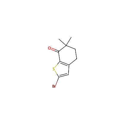 CC1(C)CCc2cc(Br)sc2C1=O